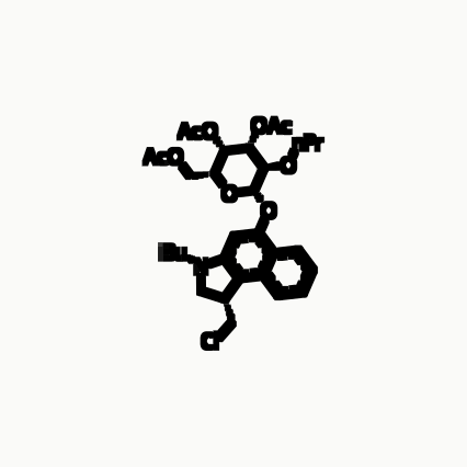 CCCO[C@H]1[C@H](Oc2cc3c(c4ccccc24)[C@H](CCl)CN3[C@@H](C)CC)O[C@H](COC(C)=O)[C@H](OC(C)=O)[C@@H]1OC(C)=O